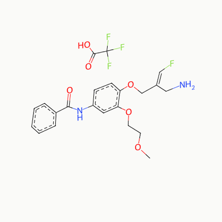 COCCOc1cc(NC(=O)c2ccccc2)ccc1OCC(=CF)CN.O=C(O)C(F)(F)F